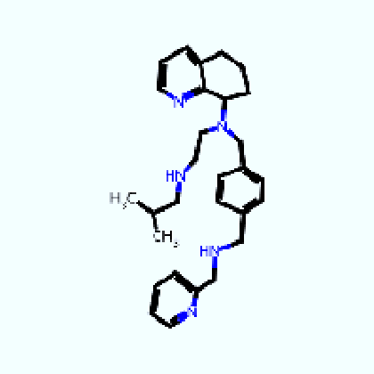 CC(C)CNCCN(Cc1ccc(CNCc2ccccn2)cc1)C1CCCc2cccnc21